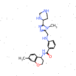 Cc1ccc2c(c1)OCC[C@@H]2NC(=O)c1cccc(NCc2nnc(C3CCNCN3)n2C)c1